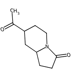 CC(=O)C1CCN2C(=O)CCC2C1